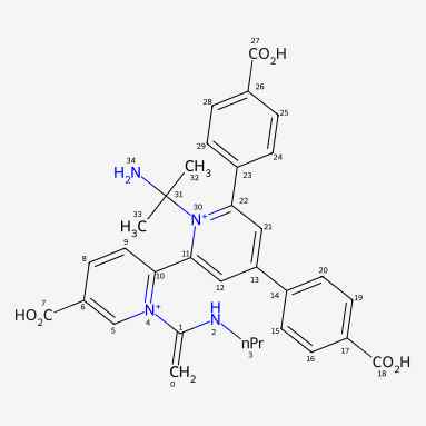 C=C(NCCC)[n+]1cc(C(=O)O)ccc1-c1cc(-c2ccc(C(=O)O)cc2)cc(-c2ccc(C(=O)O)cc2)[n+]1C(C)(C)N